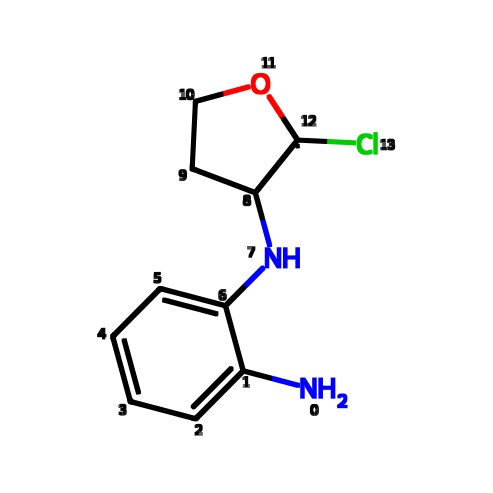 Nc1ccccc1NC1CCO[C]1Cl